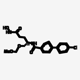 COCOC[C@H](CCC(=O)NO)NC(=O)c1ccc(-c2ccc(Cl)cc2)cc1